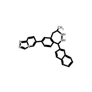 CC1Cc2cc(-c3ccc4nncn4c3)ccc2C(c2ccc3ccccc3c2)NN1